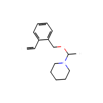 C=Cc1ccccc1COC(C)N1CCCCC1